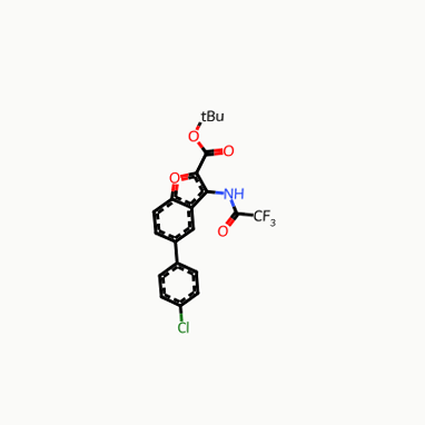 CC(C)(C)OC(=O)c1oc2ccc(-c3ccc(Cl)cc3)cc2c1NC(=O)C(F)(F)F